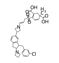 CC1(C(=O)O)C=CC(S(=O)(=O)CC=CN2CC(c3ccc4c(c3)C(Cc3cccc(Cl)c3)C(N3CCC3)C4)C2)=C(C(=O)O)C1